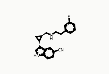 N#Cc1ccc2[nH]cc([C@@H]3C[C@H]3CNCCc3cccc(F)c3)c2c1